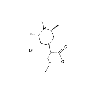 COCC(C(=O)[O-])N1C[C@H](C)N(C)[C@@H](C)C1.[Li+]